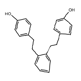 Oc1ccc(CCc2ccccc2CCc2ccc(O)cc2)cc1